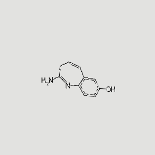 NC1=Nc2ccc(O)cc2C=CC1